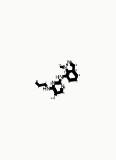 CCCNc1nc(Nc2cccc3cnn(C)c23)ncc1I